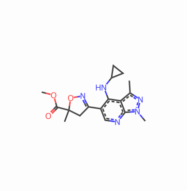 COC(=O)C1(C)CC(c2cnc3c(c(C)nn3C)c2NC2CC2)=NO1